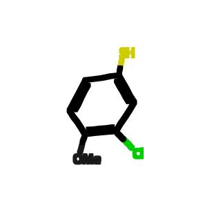 COc1ccc(S)cc1Cl